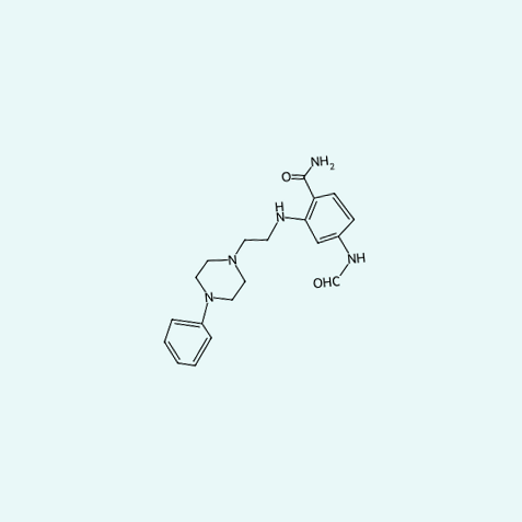 NC(=O)c1ccc(NC=O)cc1NCCN1CCN(c2ccccc2)CC1